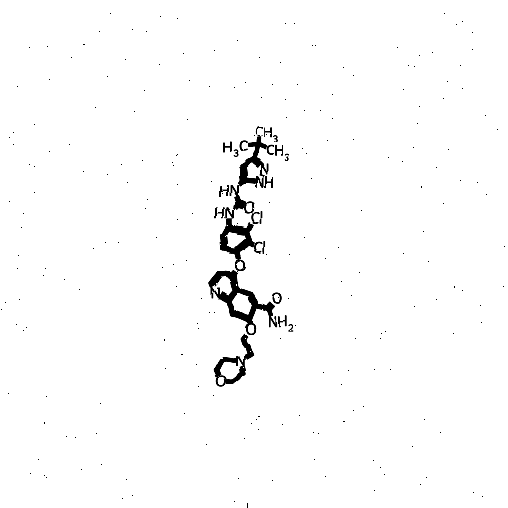 CC(C)(C)c1cc(NC(=O)Nc2ccc(Oc3ccnc4cc(OCCN5CCOCC5)c(C(N)=O)cc34)c(Cl)c2Cl)[nH]n1